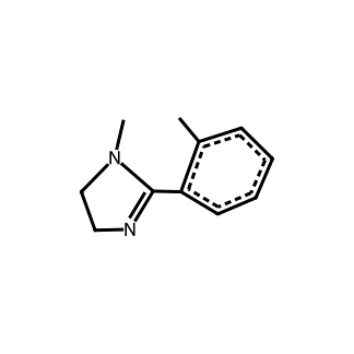 Cc1ccccc1C1=NCCN1C